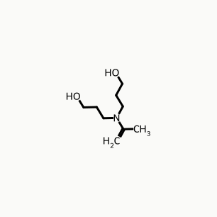 C=C(C)N(CCCO)CCCO